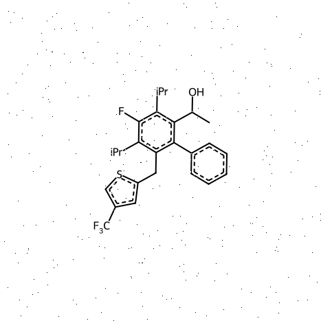 CC(C)c1c(F)c(C(C)C)c(C(C)O)c(-c2ccccc2)c1Cc1cc(C(F)(F)F)cs1